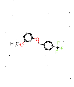 COc1cccc(OCc2ccc(C(F)(F)F)cc2)c1